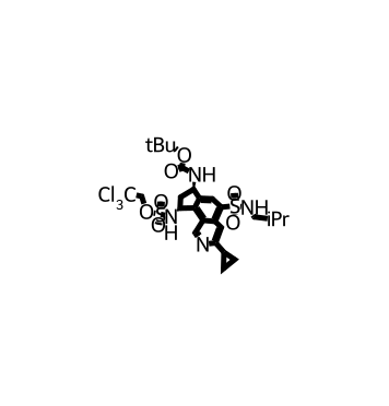 CC(C)CNS(=O)(=O)c1cc2c(c3cnc(C4CC4)cc13)[C@H](NS(=O)(=O)OCC(Cl)(Cl)Cl)C[C@H]2NC(=O)OC(C)(C)C